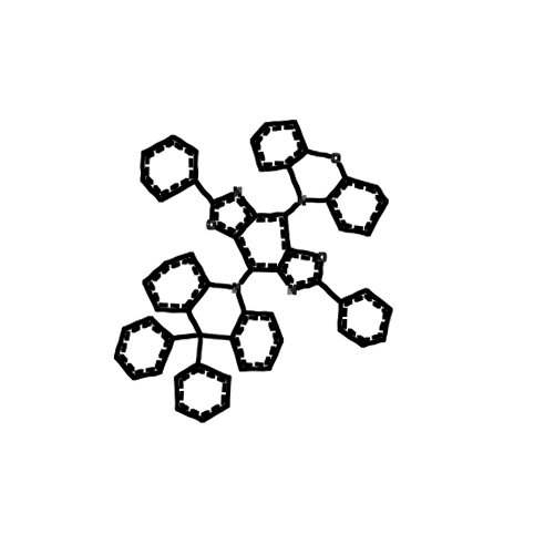 c1ccc(-c2nc3c(N4c5ccccc5C(c5ccccc5)(c5ccccc5)c5ccccc54)c4oc(-c5ccccc5)nc4c(N4c5ccccc5Oc5ccccc54)c3o2)cc1